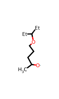 CCC(CC)OCCCC(C)[O]